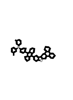 Cc1cccc(N(c2ccc(-c3c4ccccc4c(-c4ccc5oc6cc7c8ccccc8c8ccccc8c7cc6c5c4)c4ccccc34)cc2)c2cccc(C)c2)c1